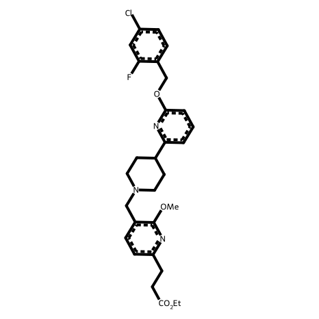 CCOC(=O)CCc1ccc(CN2CCC(c3cccc(OCc4ccc(Cl)cc4F)n3)CC2)c(OC)n1